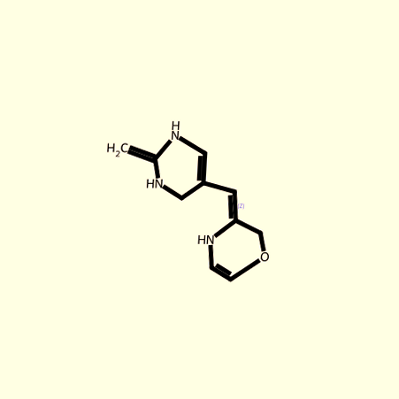 C=C1NC=C(/C=C2/COC=CN2)CN1